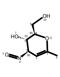 CC1=C[C@@H](N=O)[C@H](O)[C@@H](CO)O1